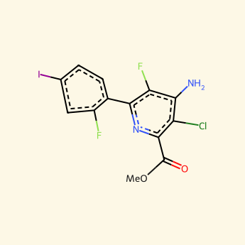 COC(=O)c1nc(-c2ccc(I)cc2F)c(F)c(N)c1Cl